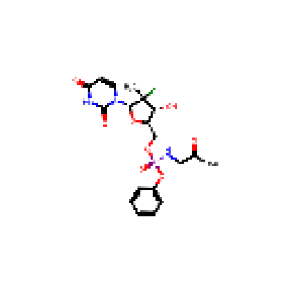 COC(=O)CN[P@](=O)(OC[C@H]1O[C@@H](n2ccc(=O)[nH]c2=O)[C@](C)(F)[C@@H]1O)Oc1ccccc1